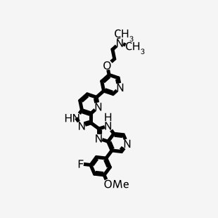 COc1cc(F)cc(-c2cncc3[nH]c(-c4n[nH]c5ccc(-c6cncc(OCCN(C)C)c6)nc45)nc23)c1